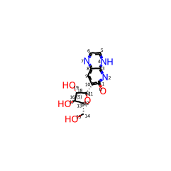 O=c1nc2[nH]ccnc-2cc1[C@@H]1O[C@H](CO)C(O)[C@@H]1O